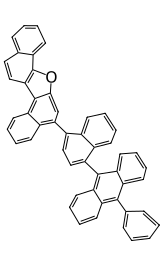 c1ccc(-c2c3ccccc3c(-c3ccc(-c4cc5oc6c7ccccc7ccc6c5c5ccccc45)c4ccccc34)c3ccccc23)cc1